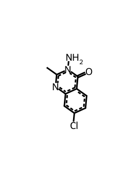 Cc1nc2cc(Cl)ccc2c(=O)n1N